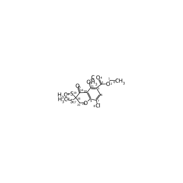 CCOC(=O)c1cc(Cl)c2c(c1OC)C(=O)C(SC)(SC)CO2